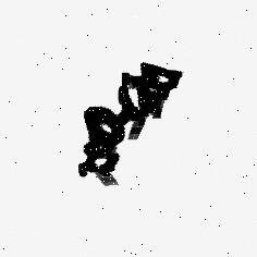 CC(C)n1c(NC(=O)c2ccc3cc4n(c3c2)CCNC4=O)nc2ccccc21